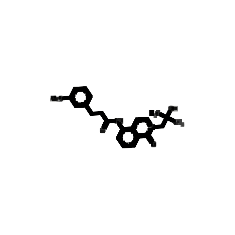 CSc1cccc(CCC(=O)Nc2cccc3c(=O)n(CC(C)(C)O)ccc23)c1